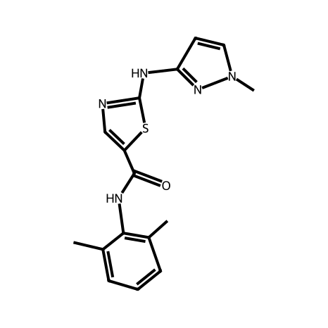 Cc1cccc(C)c1NC(=O)c1cnc(Nc2ccn(C)n2)s1